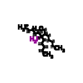 CCCCCC(CC)C(P)(CCCCC)CCCCC